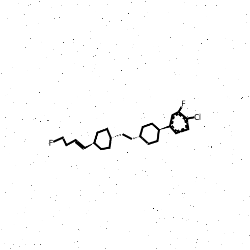 FCCC=C[C@H]1CC[C@H](CC[C@H]2CC[C@H](c3ccc(Cl)c(F)c3)CC2)CC1